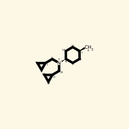 C[C@H]1CC[C@H](N(CC2CC2)CC2CC2)CC1